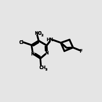 Cc1nc(Cl)c([N+](=O)[O-])c(NC23CC(F)(C2)C3)n1